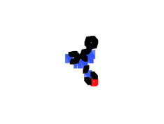 c1ccc(-c2cc(-c3ccncc3)c(NCCN3CCOCC3)nn2)cc1